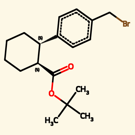 CC(C)(C)OC(=O)[C@H]1CCCC[C@@H]1c1ccc(CBr)cc1